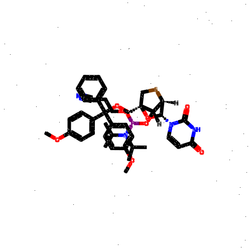 COc1ccc(C(OC[C@@]23CS[C@@H]([C@H](n4ccc(=O)[nH]c4=O)O2)[C@@H]3OP(OCCC#N)N(C(C)C)C(C)C)(c2ccccc2)c2ccc(OC)cc2)cc1